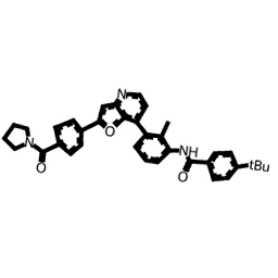 Cc1c(NC(=O)c2ccc(C(C)(C)C)cc2)cccc1-c1ccnc2cc(-c3ccc(C(=O)N4CCCC4)cc3)oc12